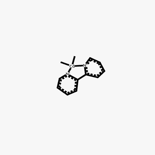 [CH3][Cd]1([CH3])[n+]2ccccc2-c2cccc[n+]21